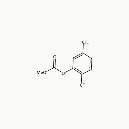 COC(=O)Oc1cc(C(F)(F)F)ccc1C(F)(F)F